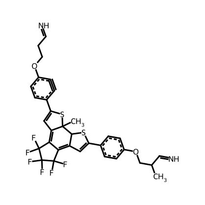 CC(C=N)COc1ccc(C2=CC3=C4C(=C5C=C(c6c#cc(OCCC=N)cc6)SC5(C)C3S2)C(F)(F)C(F)(F)C4(F)F)cc1